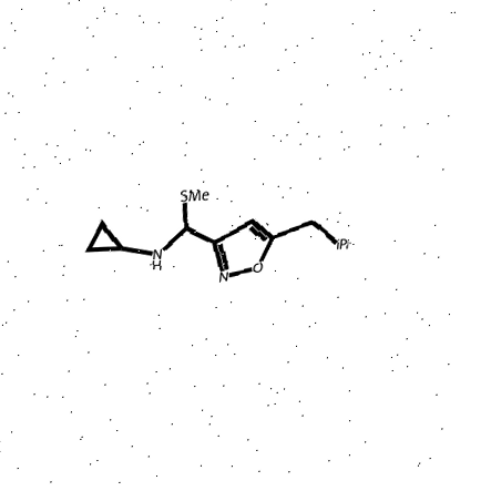 CSC(NC1CC1)c1cc(CC(C)C)on1